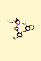 CCOC(=O)[C@@]12CCN(c3nc(-c4cc(C)ccc4OCc4cc(C)c5c(c4)CCNC5)cs3)CC1C2